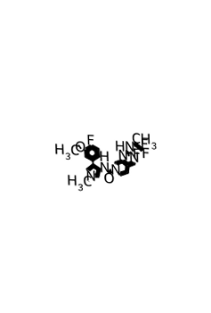 COc1cc([C@@H]2CN(C)C[C@H]2NC(=O)N2CCc3cnc(N[C@@H](C)C(F)(F)F)nc3C2)ccc1F